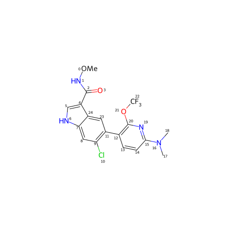 CONC(=O)c1c[nH]c2cc(Cl)c(-c3ccc(N(C)C)nc3OC(F)(F)F)cc12